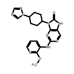 COc1ncccc1Nc1ncc2[nH]c(=O)n(C3CCC(n4cncn4)CC3)c2n1